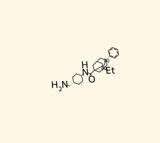 CC[C@]12CC3CC(C(=O)N[C@H]4CC[C@@H](CN)CC4)(C1)C[C@@](c1ccccc1)(C3)C2